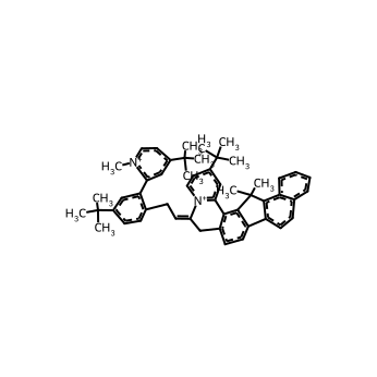 C[n+]1ccc(C(C)(C)C)cc1-c1cc(C(C)(C)C)ccc1C/C=C1/Cc2ccc3c(c2-c2cc(C(C)(C)C)cc[n+]21)C(C)(C)c1c-3ccc2ccccc12